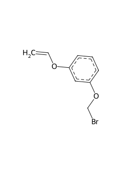 C=COc1cccc(OCBr)c1